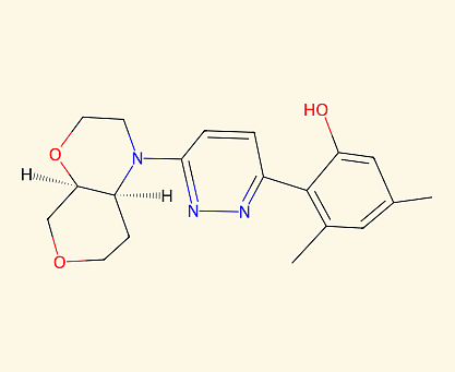 Cc1cc(C)c(-c2ccc(N3CCO[C@@H]4COCC[C@@H]43)nn2)c(O)c1